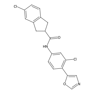 O=C(Nc1ccc(-c2cnco2)c(Cl)c1)C1Cc2ccc(Cl)cc2C1